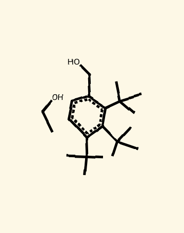 CC(C)(C)c1ccc(CO)c(C(C)(C)C)c1C(C)(C)C.CCO